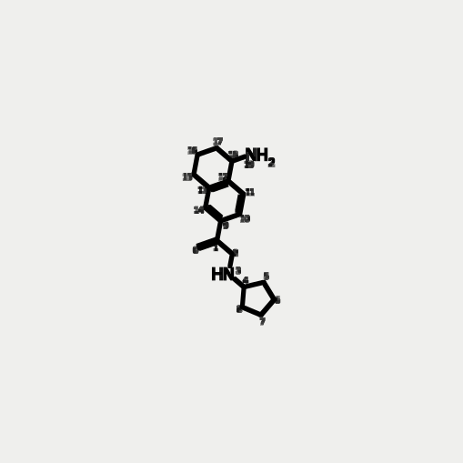 C=C(CNC1CCCC1)c1ccc2c(c1)CCCC2N